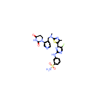 Cc1nc(N(C)Cc2ccncc2N2CCC(=O)NC2=O)sc1-c1nc(Nc2cccc(S(N)(=O)=O)c2)ncc1F